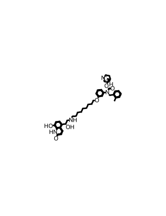 Cc1ccccc1CN(C(=O)O[C@H]1CN2CCC1CC2)c1cccc(OCCCCCCCCCNC[C@H](O)c2ccc(O)c3[nH]c(=O)ccc23)c1